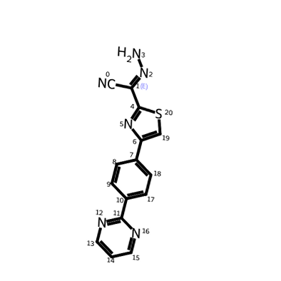 N#C/C(=N\N)c1nc(-c2ccc(-c3ncccn3)cc2)cs1